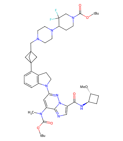 CO[C@@H]1CC[C@H]1NC(=O)c1cnc2c(N(C)C(=O)OC(C)(C)C)cc(N3CCc4c3cccc4C34CC(CN5CCN(C6CCN(C(=O)OC(C)(C)C)CC6(F)F)CC5)(C3)C4)nn12